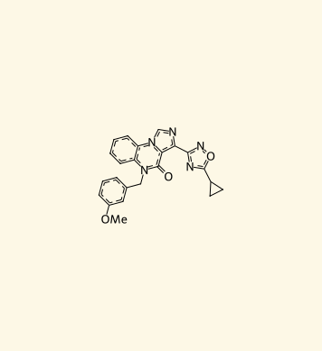 COc1cccc(Cn2c(=O)c3c(-c4noc(C5CC5)n4)ncn3c3ccccc32)c1